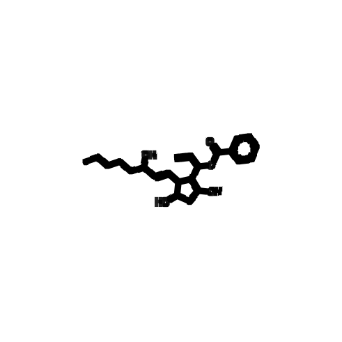 C=CC(OC(=O)c1ccccc1)C1C(O)CC(O)C1C=CC(O)CCCCC